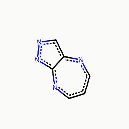 c1cnc2cnnc-2nc1